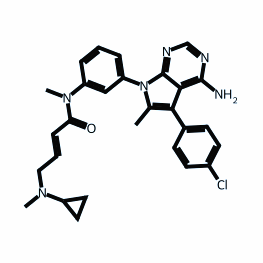 Cc1c(-c2ccc(Cl)cc2)c2c(N)ncnc2n1-c1cccc(N(C)C(=O)C=CCN(C)C2CC2)c1